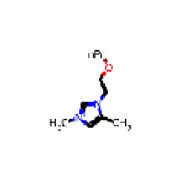 CCCOCCn1c[n+](C)cc1C